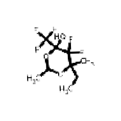 CCC1(C)OC(C)OC(O)(C(F)(F)F)C1(F)F